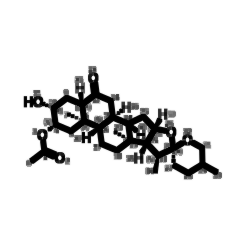 CC(=O)O[C@H]1C[C@@]2(C)[C@H](C[C@H]1O)C(=O)C[C@@H]1[C@@H]2CC[C@]2(C)[C@@H]3[C@H](C[C@@H]12)O[C@]1(CCC(C)CO1)[C@H]3C